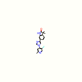 Cc1cc(-n2cnc(-c3ccc4c(c3)NC(=O)C4(C)C)c2)c(F)cn1